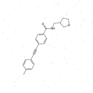 Cc1ccc(C#Cc2ccc(C(=O)NCC3CCOC3)cc2)cc1